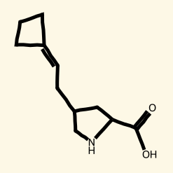 O=C(O)C1CC(CC=C2CCC2)CN1